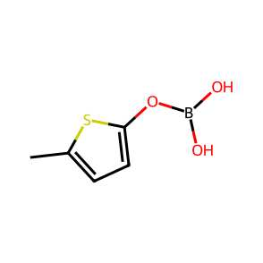 Cc1ccc(OB(O)O)s1